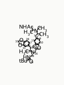 CC(=O)NC(C)N(C)C(C)Cc1ccc2c(c1)OC(CN(CNC(=O)C(C)(C)C)C(C)Cc1ccc3c(c1)OCO3)O2